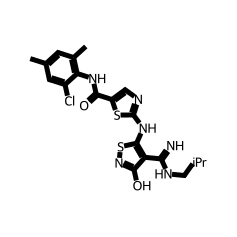 Cc1cc(C)c(NC(=O)c2cnc(Nc3snc(O)c3C(=N)NCC(C)C)s2)c(Cl)c1